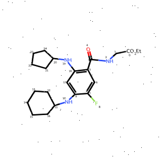 CCOC(=O)CNC(=O)c1cc(F)c(NC2CCCCC2)cc1NC1CCCC1